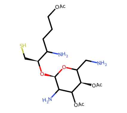 CC(=O)OCCCC(N)[C@H](CS)O[C@H]1OC(CN)[C@@H](OC(C)=O)C(OC(C)=O)C1N